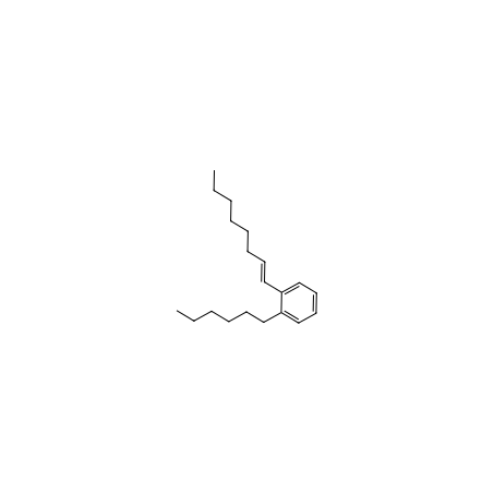 CCCCCCC=Cc1ccccc1CCCCCC